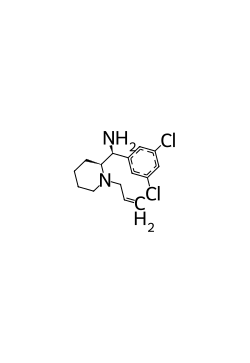 C=CCN1CCCC[C@H]1[C@@H](N)c1cc(Cl)cc(Cl)c1